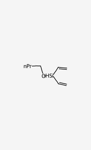 C=C[SiH](C=C)OCCCC